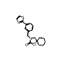 O=C1OC2(CCCCC2)CN1Cc1cccc(-c2nccs2)c1